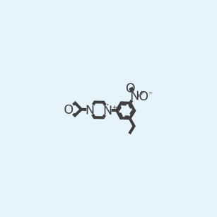 CCc1cc([N+]2CCN(C3COC3)CC2)cc([N+](=O)[O-])c1